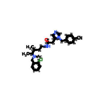 CC(=O)N(Cc1ccccc1Cl)C(C)C(C)CCNC(=O)Cc1cncn1Cc1ccc(C#N)cc1